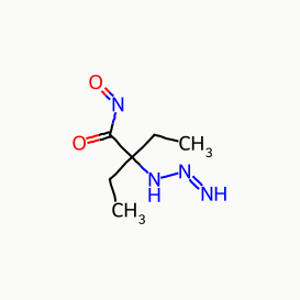 CCC(CC)(NN=N)C(=O)N=O